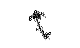 Cc1ncc(-c2ccc3nc(NC(=O)CCOCCOCCC(=O)N[C@H]4C[C@@H](C(=O)N[C@@H]5CCCc6ccccc65)N(C(=O)[C@@H](NC(=O)[C@H](C)N(C)C(=O)OC(C)(C)C)C5CCCCC5)C4)sc3c2)cc1NC(=O)OC1CCCCC1